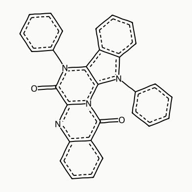 O=c1c2nc3ccccc3c(=O)n2c2c(c3ccccc3n2-c2ccccc2)n1-c1ccccc1